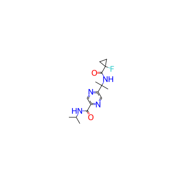 CC(C)NC(=O)c1cnc(C(C)(C)NC(=O)C2(F)CC2)cn1